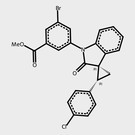 COC(=O)c1cc(Br)cc(N2C(=O)[C@@]3(C[C@@H]3c3ccc(Cl)cc3)c3ccccc32)c1